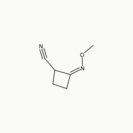 CO/N=C1/CCC1C#N